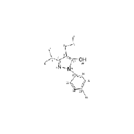 CCCc1c(C(C)C)nn(-c2ccc(C)cc2)c1O